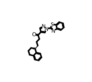 O=C(CCC[C@@H]1CCCc2ccccc21)c1cnn(-c2nc3ccccc3s2)c1